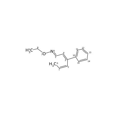 C\C=C/C(=C\C=N\OCC)c1ccccc1